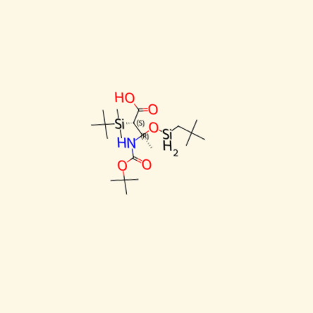 CC(C)(C)C[SiH2]O[C@@](C)(NC(=O)OC(C)(C)C)[C@@H](C(=O)O)[Si](C)(C)C(C)(C)C